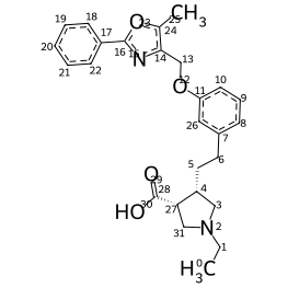 CCN1C[C@@H](CCc2cccc(OCc3nc(-c4ccccc4)oc3C)c2)[C@@H](C(=O)O)C1